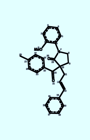 COc1ccccc1N1CCC(CC=Cc2ccccc2)(C(=O)c2ccc(C)cc2)C1=O